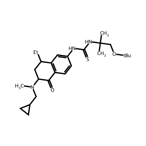 CCC1CC(N(C)CC2CC2)C(=O)c2ccc(NC(=S)NC(C)(C)COC(C)(C)C)cc21